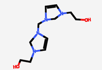 OCCN1C=CN(CN2C=CN(CCO)C2)C1